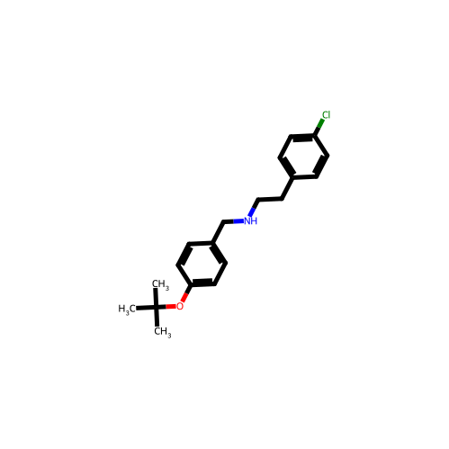 CC(C)(C)Oc1ccc(CNCCc2ccc(Cl)cc2)cc1